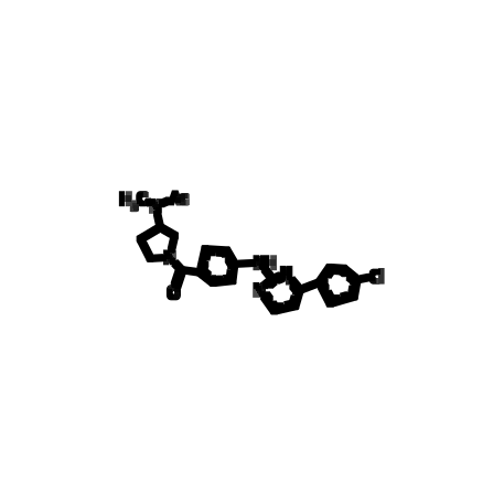 CC(=O)N(C)C1CCN(C(=O)c2ccc(Nc3nccc(-c4ccc(Cl)cc4)n3)cc2)C1